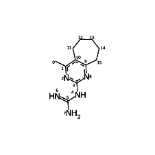 Cc1nc(NC(=N)N)nc2c1CCCCC2